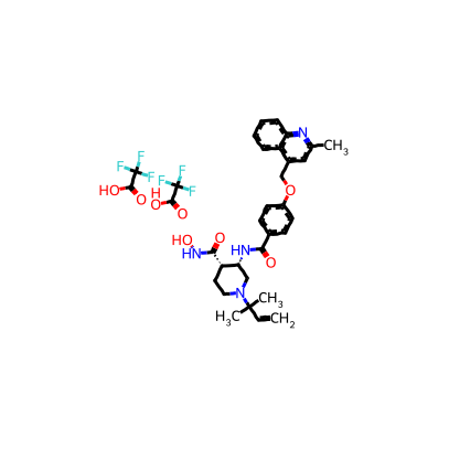 C=CC(C)(C)N1CC[C@H](C(=O)NO)[C@H](NC(=O)c2ccc(OCc3cc(C)nc4ccccc34)cc2)C1.O=C(O)C(F)(F)F.O=C(O)C(F)(F)F